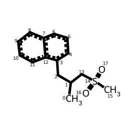 CC(Cc1cccc2ccccc12)CS(C)(=O)=O